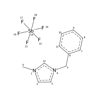 Cn1cc[n+](Cc2ccccc2)c1.[F][Sb-]([F])([F])([F])([F])[F]